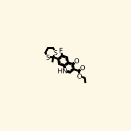 CCOC(=O)c1c[nH]c2cc(C3(C)SCCCS3)c(F)cc2c1=O